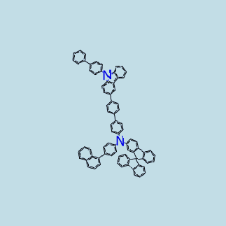 c1ccc(-c2ccc(-n3c4ccccc4c4cc(-c5ccc(-c6ccc(N(c7ccc(-c8cccc9ccccc89)cc7)c7ccc8c(c7)C7(c9ccccc9-c9ccccc97)c7ccccc7-8)cc6)cc5)ccc43)cc2)cc1